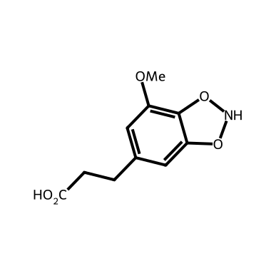 COc1cc(CCC(=O)O)cc2c1ONO2